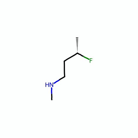 CNCC[C@H](C)F